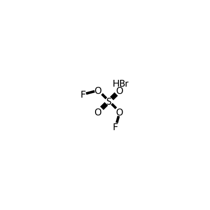 Br.O=S(=O)(OF)OF